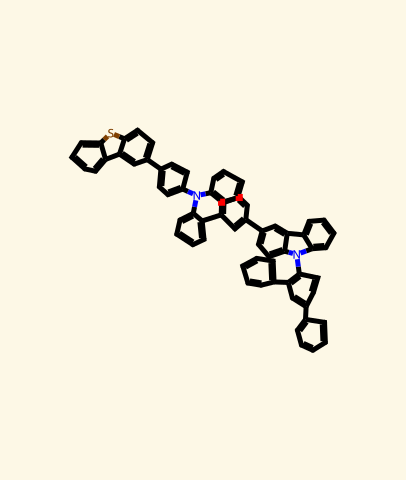 c1ccc(-c2ccc(-n3c4ccccc4c4cc(-c5cccc(-c6ccccc6N(c6ccccc6)c6ccc(-c7ccc8sc9ccccc9c8c7)cc6)c5)ccc43)c(-c3ccccc3)c2)cc1